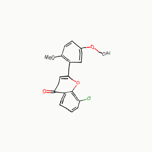 COc1ccc(OOC(C)=O)cc1-c1cc(=O)c2cccc(Cl)c2o1